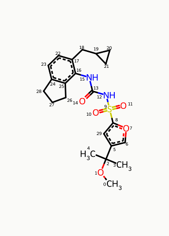 COC(C)(C)c1coc(S(=O)(=O)NC(=O)Nc2c(CC3CC3)ccc3c2CCC3)c1